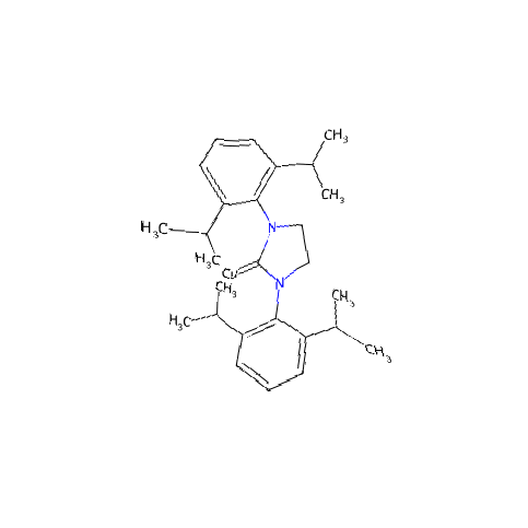 CC(C)c1cccc(C(C)C)c1N1CCN(c2c(C(C)C)cccc2C(C)C)[C]1=[Cu]